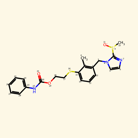 Cc1c(Cn2ccnc2[S+](C)[O-])cccc1SCCOC(=O)Nc1ccccc1